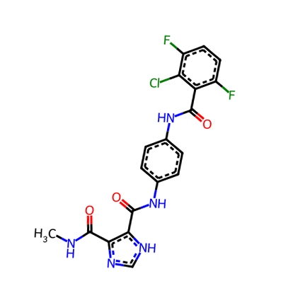 CNC(=O)c1nc[nH]c1C(=O)Nc1ccc(NC(=O)c2c(F)ccc(F)c2Cl)cc1